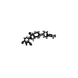 CN1C(=O)CCC(N2Cc3cc(C4CCN(C(=O)O)CC4)ccc3C2=O)C1=O